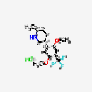 COc1cc(C(F)(F)F)c(OC)cc1[C@H]1CC[C@H](C)NC1.Cl